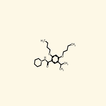 CCCCOc1cc(OCCCC)c(C(C)C)cc1C(=O)NN1CCCCC1